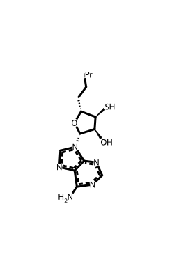 CC(C)CC[C@H]1O[C@@H](n2cnc3c(N)ncnc32)[C@H](O)[C@@H]1S